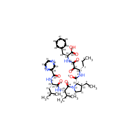 CCC[C@H](NC(=O)[C@@H]1[C@@H](CC)CCN1C(=O)[C@@H](NC(=O)[C@H](CC(C)C)NC(=O)c1cnccn1)C(C)C)C(=O)C(=O)N[C@@H](Cc1ccccc1)C(=O)O